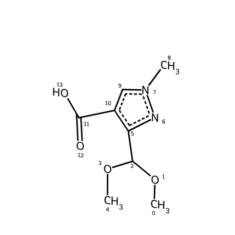 COC(OC)c1nn(C)cc1C(=O)O